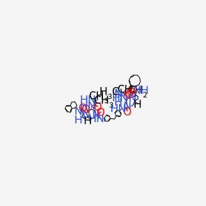 C=C1/C=C\C=C/CCCC[C@H]1NC(=O)[C@@H]1CC[C@@H]2CCN(C(=O)Nc3ccc(Cc4ccc(NC(=O)N5CC[C@H]6CCC(C(=O)N[C@@H]7CCCc8ccccc87)N6C(=O)[C@@H](NC(=O)[C@H](C)NC)C5)cc4)cc3)C[C@H](NC(=O)[C@H](C)NC)C(=O)N21